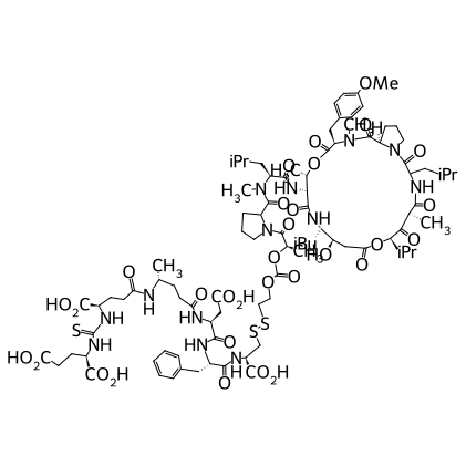 CC[C@@H](C)[C@@H]1NC(=O)[C@H](NC(=O)[C@H](CC(C)C)N(C)C(=O)C2CCCN2C(=O)[C@@H](C)OC(=O)OCCSSC[C@H](NC(=O)[C@H](Cc2ccccc2)NC(=O)[C@H](CC(=O)O)NC(=O)CC[C@@H](C)NC(=O)CC[C@@H](NC(=S)N[C@H](CCC(=O)O)C(=O)O)C(=O)O)C(=O)O)[C@H](C)OC(=O)[C@@H](Cc2ccc(OC)cc2)N(C)C(=O)[C@H]2CCCN2C(=O)C(CC(C)C)NC(=O)[C@H](C)C(=O)[C@@H](C(C)C)OC(=O)C[C@H]1O